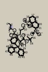 C/C=C(\C)OC(=O)[C@@H](CCCOS(=O)(=O)c1cccc2ccc([N+](=O)[O-])cc12)C[C@H](NC(c1ccccc1)(c1ccccc1)c1ccccc1)C(=O)OC(C)(C)C